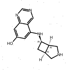 Oc1cc(N[C@@H]2C[C@@H]3CNC[C@@H]32)c2cncnc2c1